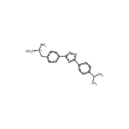 CN(C)c1ccc(-c2nc(-c3ccc(C[C@H](N)C(=O)O)cc3)no2)cc1